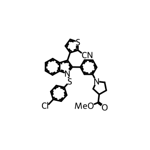 COC(=O)C1CCN(c2cccc(-c3c(-c4ccsc4C#N)c4ccccc4n3Sc3ccc(Cl)cc3)c2)C1